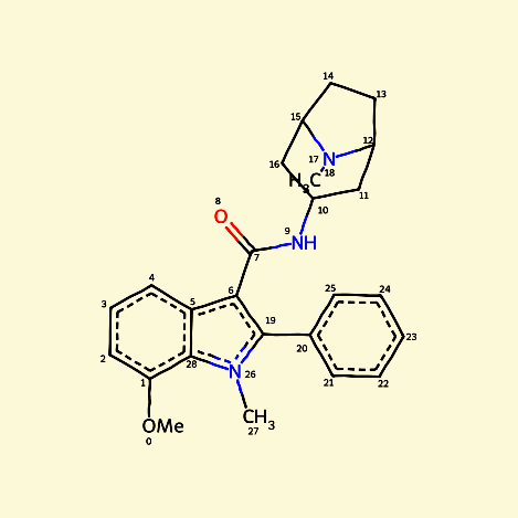 COc1cccc2c(C(=O)NC3CC4CCC(C3)N4C)c(-c3ccccc3)n(C)c12